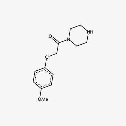 COc1ccc(OCC(=O)N2CCNCC2)cc1